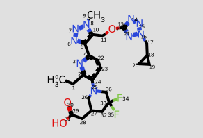 CCc1nc(-c2nnn(C)c2COc2nnn(CC3CC3)n2)ccc1N1CC(CC(=O)O)CC(F)(F)C1